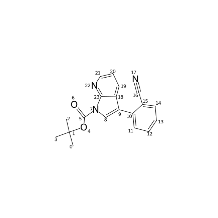 CC(C)(C)OC(=O)n1cc(-c2ccccc2C#N)c2cccnc21